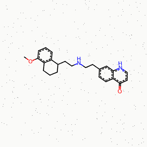 COc1cccc2c1CCCC2CCNCCc1ccc2c(=O)cc[nH]c2c1